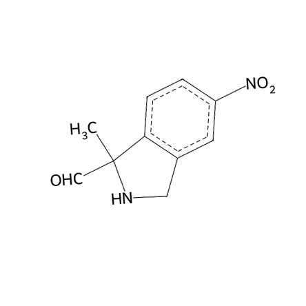 CC1(C=O)NCc2cc([N+](=O)[O-])ccc21